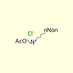 CCCCCCCCCCCCCC[N+](C)(C)CCOC(C)=O.[Cl-]